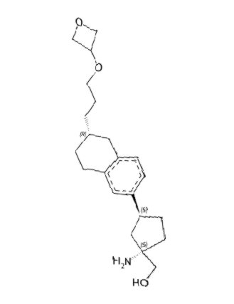 N[C@@]1(CO)CC[C@H](c2ccc3c(c2)CC[C@H](CCCOC2COC2)C3)C1